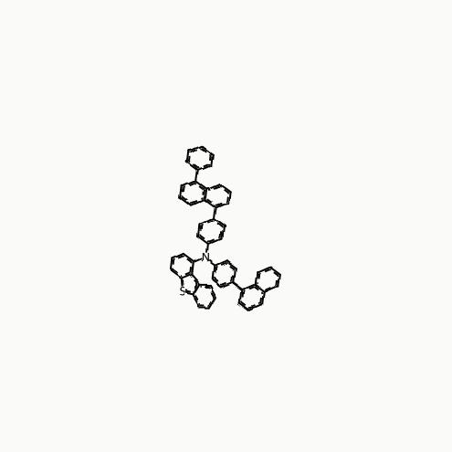 c1ccc(-c2cccc3c(-c4ccc(N(c5ccc(-c6cccc7ccccc67)cc5)c5cccc6sc7ccccc7c56)cc4)cccc23)cc1